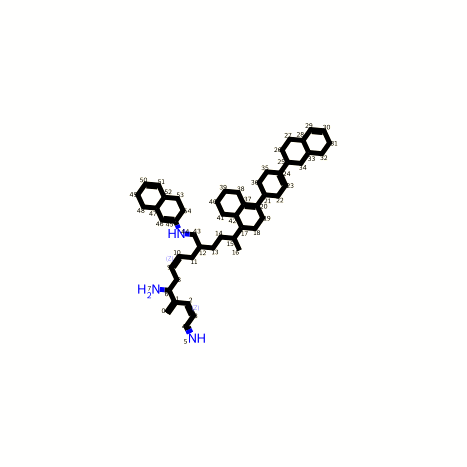 C=C(/C=C\C=N)C(N)C/C=C\CC(CCC(C)C1CCC(C2CC=C(C3CCC4C=CCCC4C3)CC2)=C2CCCCC21)CNC1=CC2CCC=CC2CC1